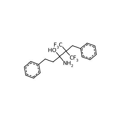 NC(O)(CCc1ccccc1)C(Cc1ccccc1)(C(F)(F)F)C(F)(F)F